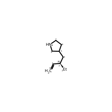 C=C[C@H](CC)CC1CCNC1